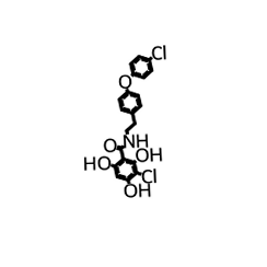 O=C(NCCc1ccc(Oc2ccc(Cl)cc2)cc1)c1c(O)cc(O)c(Cl)c1O